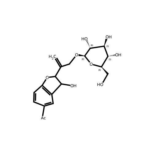 C=C(CO[C@@H]1O[C@H](CO)[C@@H](O)[C@H](O)[C@H]1O)C1Oc2ccc(C(C)=O)cc2C1O